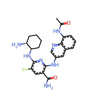 CC(=O)Nc1cccc2cc(Nc3nc(N[C@@H]4CCCC[C@@H]4N)c(F)cc3C(N)=O)cnc12